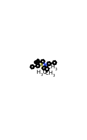 CC1(C)CCC(C)(C)c2c(N(c3ccc(-c4ccccc4)cc3)c3cccc4c3Sc3ccc(-c5ccccc5)cc3C43C4CC5CC(C4)C3C5)cccc21